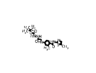 Cc1cnc(NC(=O)c2ccc(NCC(=O)NNC(=O)OC(C)(C)C)cc2C)s1